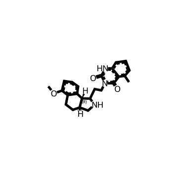 COc1cccc2c1CC[C@H]1CNC(CCn3c(=O)[nH]c4cccc(C)c4c3=O)[C@@H]21